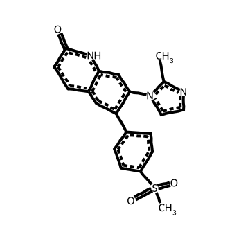 Cc1nccn1-c1cc2[nH]c(=O)ccc2cc1-c1ccc(S(C)(=O)=O)cc1